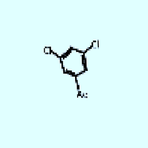 CC(=O)c1cc(Cl)[c]c(Cl)c1